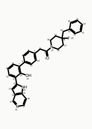 O=C(Cc1ccc(-c2cccc(-c3cc4cnccc4[nH]3)c2O)cc1)N1CCC(F)(Cc2ccccc2)CC1